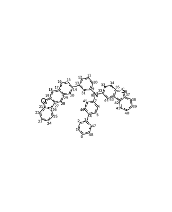 c1ccc(-c2ccc(N(c3cccc(-c4ccc5cc6oc7ccccc7c6cc5c4)c3)c3ccc4sc5ccccc5c4c3)cc2)cc1